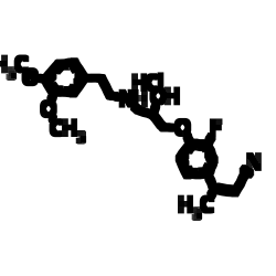 COc1ccc(CCNCC(O)COc2ccc(/C(C)=C\C#N)cc2F)cc1OC.Cl